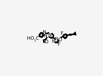 O=C(O)c1ccc2nc(CN3CC=C(c4ncc(F)c(OCc5ccc(C#CC6CC6)cc5F)n4)CC3)n(CC3CCO3)c2c1